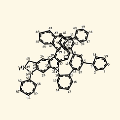 c1ccc(-c2cc(-c3ccccc3)cc(-c3ccccc3-n3c4cc5c(cc4c4c6c(ccc43)c(-c3ccccc3)cc3ccccc36)CNN5c3ccccc3)c2)cc1